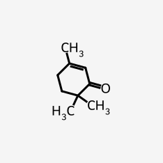 CC1=CC(=O)C(C)(C)CC1